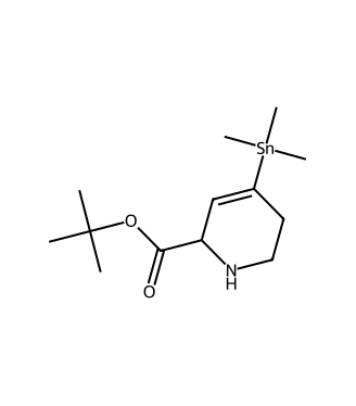 CC(C)(C)OC(=O)C1C=[C]([Sn]([CH3])([CH3])[CH3])CCN1